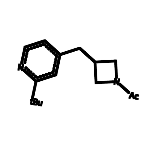 CC(=O)N1CC(Cc2ccnc(C(C)(C)C)c2)C1